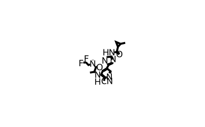 CC(Nc1cc(-c2cnc(NC(=O)C3CC3C)cn2)cnc1C#N)C(=O)N(C)CC(F)F